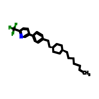 CCCCCCC[C@H]1CC[C@H](CCc2ccc(-c3ccc(C(F)(F)F)nc3)cc2)CC1